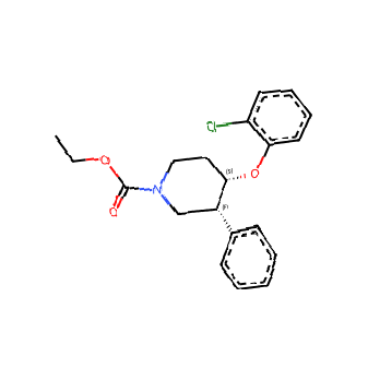 CCOC(=O)N1CC[C@H](Oc2ccccc2Cl)[C@H](c2ccccc2)C1